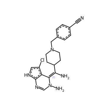 N#Cc1ccc(CN2CCC(/C(N)=C3\c4c(Cl)c[nH]c4N=CN3N)CC2)cc1